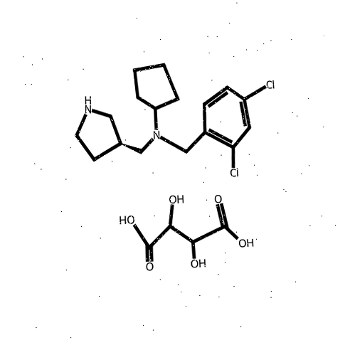 Clc1ccc(CN(C[C@H]2CCNC2)C2CCCC2)c(Cl)c1.O=C(O)C(O)C(O)C(=O)O